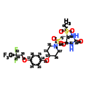 CS(=O)(=O)[C@@]1(CS(=O)(=O)N2CCC(Oc3ccc(OCC(F)(F)C(F)(F)F)cc3)CC2)NC(=O)NC1=O